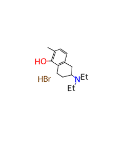 Br.CCN(CC)C1CCc2c(ccc(C)c2O)C1